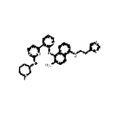 Cc1ccc2c(NCCc3cscn3)cccc2c1Oc1ncccc1-c1ccnc(NC2CCCNC2)n1